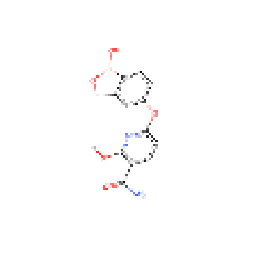 COc1nc(Oc2ccc3c(c2)COB3O)ccc1C(N)=O